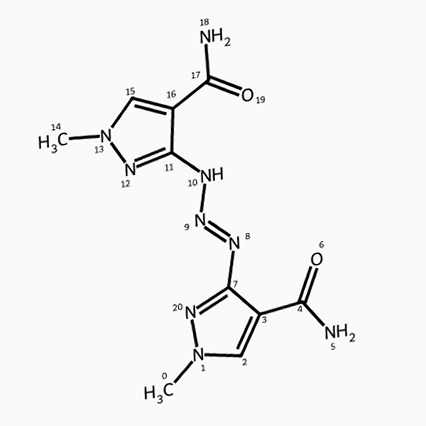 Cn1cc(C(N)=O)c(N=NNc2nn(C)cc2C(N)=O)n1